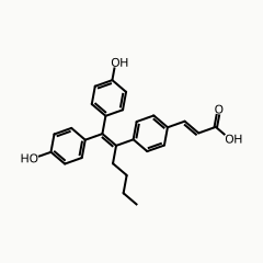 CCCCC(=C(c1ccc(O)cc1)c1ccc(O)cc1)c1ccc(C=CC(=O)O)cc1